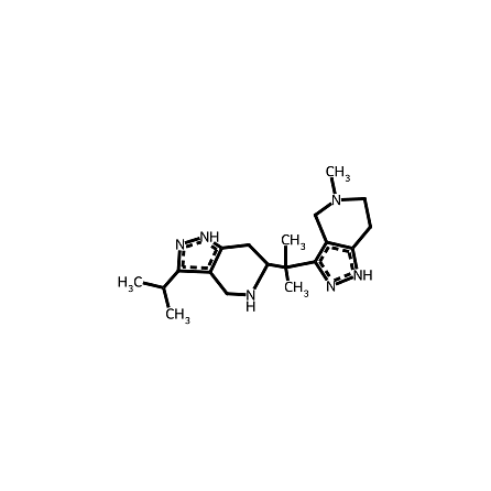 CC(C)c1n[nH]c2c1CNC(C(C)(C)c1n[nH]c3c1CN(C)CC3)C2